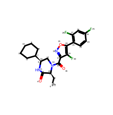 CC(C)C[C@H]1C(=O)N[C@@H](C2CCCCC2)CN1C(=O)c1noc(-c2ccc(F)cc2F)c1F